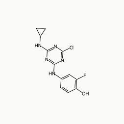 Oc1ccc(Nc2nc(Cl)nc(NC3CC3)n2)cc1F